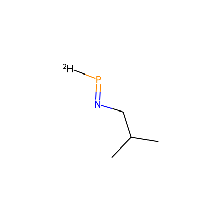 [2H]/P=N/CC(C)C